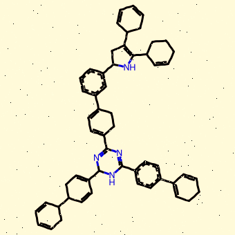 C1=CCC(C2=C(C3C=CCCC3)NC(c3cccc(C4=CC=C(C5=NC(C6=CCC(C7C=CC=CC7)C=C6)NC(c6ccc(C7=CCCC=C7)cc6)=N5)CC4)c3)C2)C=C1